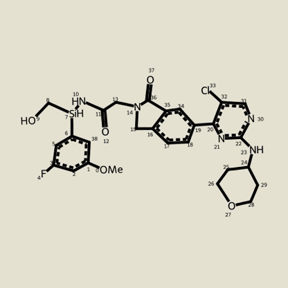 COc1cc(F)cc([SiH](CO)NC(=O)CN2Cc3ccc(-c4nc(NC5CCOCC5)ncc4Cl)cc3C2=O)c1